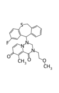 COCCN1CN(C2c3ccccc3CSc3ccc(F)cc32)n2ccc(=O)c(C)c2C1=O